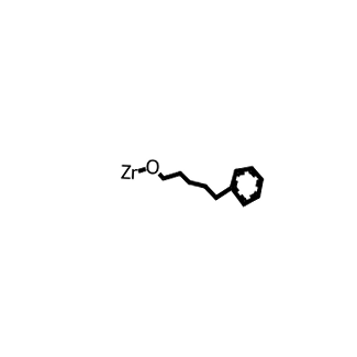 [Zr][O]CCCCCc1ccccc1